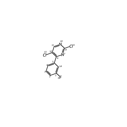 Fc1cccc(-c2nc(Cl)ncc2Cl)c1